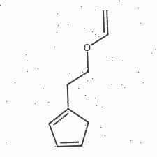 C=COCCC1=CC=CC1